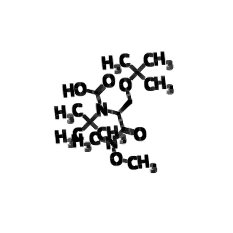 CON(C)C(=O)[C@H](COC(C)(C)C)N(C(=O)O)C(C)(C)C